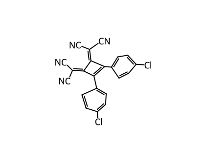 N#CC(C#N)=C1C(=C(C#N)C#N)C(c2ccc(Cl)cc2)=C1c1ccc(Cl)cc1